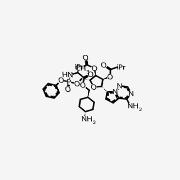 CC(C)C(=O)O[C@@H]1[C@H](OC(=O)C(C)C)[C@@H](CO[P@](=O)(N[C@@H](C)C(=O)OC[C@H]2CC[C@H](N)CC2)Oc2ccccc2)O[C@H]1c1ccc2c(N)ncnn12